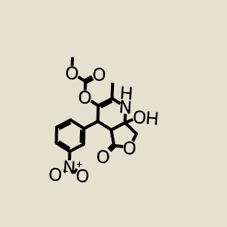 COC(=O)OC1=C(C)NC2(O)COC(=O)C2C1c1cccc([N+](=O)[O-])c1